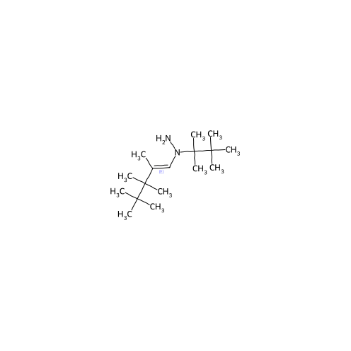 C/C(=C\N(N)C(C)(C)C(C)(C)C)C(C)(C)C(C)(C)C